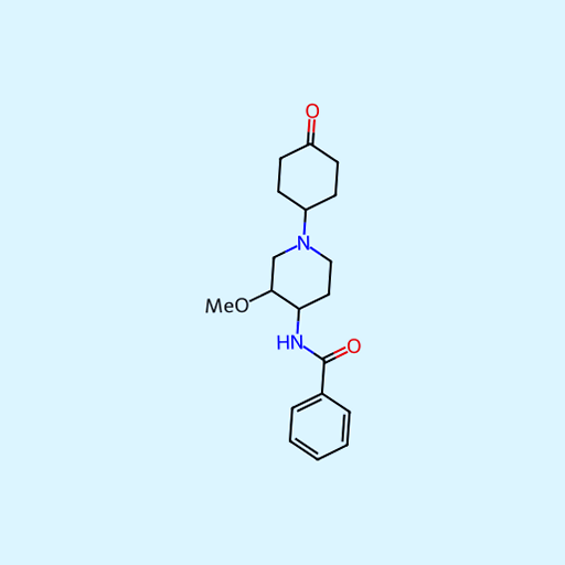 COC1CN(C2CCC(=O)CC2)CCC1NC(=O)c1ccccc1